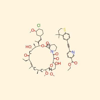 CCOC(=O)c1ccc(C#Cc2ccc3c(c2)C(C)(C)CCS3)nc1.CC[C@@H]1/C=C(\C)C[C@H](C)C[C@H](OC)[C@H]2O[C@@](O)(C(=O)C(=O)N3CCCC[C@H]3C(=O)O[C@H](/C(C)=C/[C@@H]3CC[C@@H](Cl)[C@H](OC)C3)[C@H](C)[C@@H](O)CC1=O)[C@H](C)C[C@@H]2OC